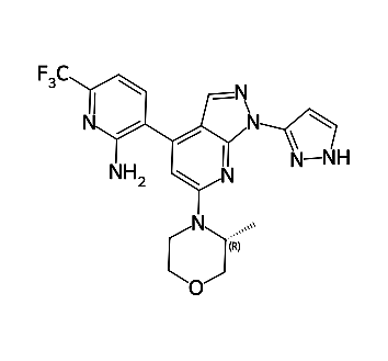 C[C@@H]1COCCN1c1cc(-c2ccc(C(F)(F)F)nc2N)c2cnn(-c3cc[nH]n3)c2n1